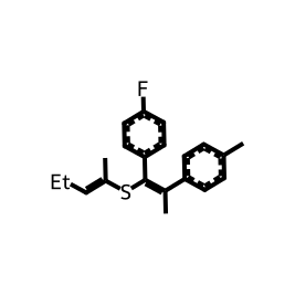 CC/C=C(\C)S/C(=C(\C)c1ccc(C)cc1)c1ccc(F)cc1